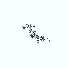 Cc1sc(C(=O)c2cncnc2N[C@@H]2C[C@H](COS(N)(=O)=O)[C@@H](O)[C@H]2O)cc1[C@H]1NCCc2ccc(Br)cc21